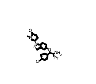 CC(C)C(N)C(Oc1ccc2c(cnn2-c2ccc(=O)n(C)c2)c1)c1ccc(Cl)cc1